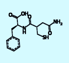 NC(=O)CC(CS)C(=O)N[C@@H](Cc1ccccc1)C(=O)O